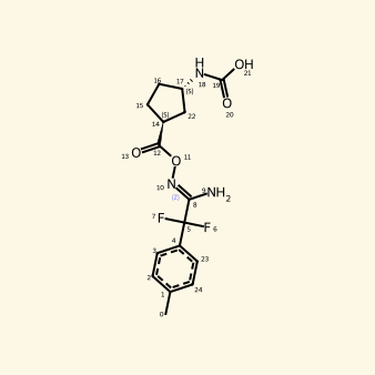 Cc1ccc(C(F)(F)/C(N)=N/OC(=O)[C@H]2CC[C@H](NC(=O)O)C2)cc1